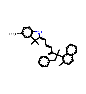 C=C(/C=C/C=C1/Nc2ccc(C(=O)O)cc2C1(C)C)C(C)(Cc1ccccc1)c1c(C)ccc2ccccc12